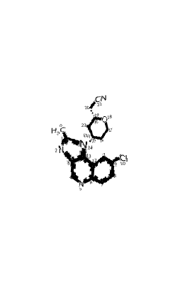 Cc1nc2cnc3ccc(Cl)cc3c2n1[C@H]1CCO[C@@H](CC#N)C1